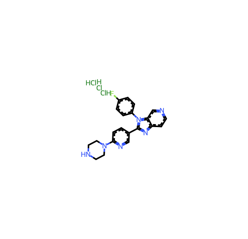 Cl.Cl.Cl.Fc1ccc(-n2c(-c3ccc(N4CCNCC4)nc3)nc3ccncc32)cc1